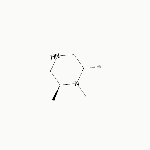 C[C@H]1CNC[C@H](C)N1C